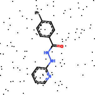 CC(C)c1ccc(C(=O)NNc2ccccn2)cc1